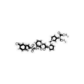 CC(=O)N(C)C1CCN(C[C@@H]2CCCN2C(=O)CN2CCC[C@H](NS(=O)(=O)c3cc4cc(Cl)ccc4s3)C2=O)C1